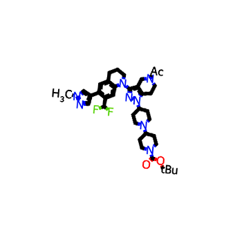 CC(=O)N1CCc2c(c(N3CCCc4cc(-c5cnn(C)c5)c(C(F)F)cc43)nn2C2CCN(C3CCN(C(=O)OC(C)(C)C)CC3)CC2)C1